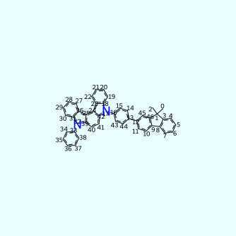 CC1(C)c2ccccc2-c2ccc(-c3ccc(-n4c5ccccc5c5c6c7ccccc7n(-c7ccccc7)c6ccc54)cc3)cc21